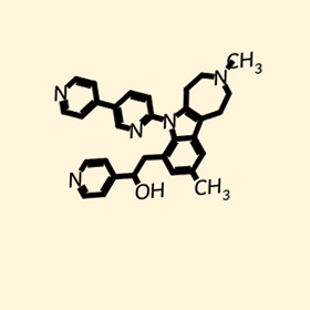 Cc1cc(CC(O)c2ccncc2)c2c(c1)c1c(n2-c2ccc(-c3ccncc3)cn2)CCN(C)CC1